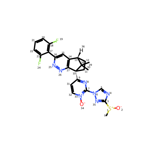 C[S+]([O-])c1ncn(-c2nc([C@]34CC[C@@H](c5cc(-c6c(F)cccc6F)nnc53)C4(C)C)cc[n+]2[O-])n1